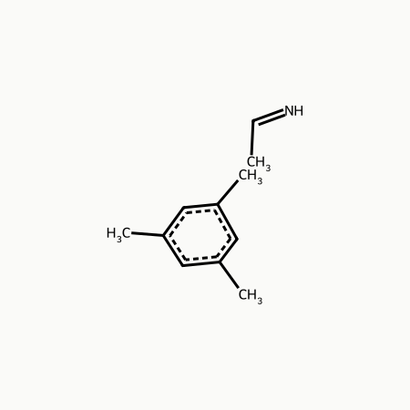 CC=N.Cc1cc(C)cc(C)c1